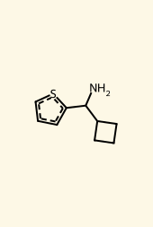 NC(c1cccs1)C1CCC1